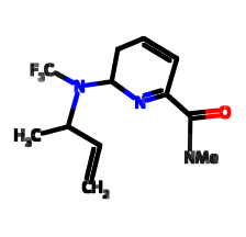 C=CC(C)N(C1CC=CC(C(=O)NC)=N1)C(F)(F)F